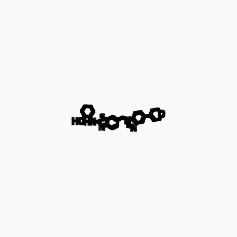 O[C@@H]1CCCC[C@H]1Nc1nc2ccc(Cn3cnc4cc(C5=CCOCC5)ccc43)cc2s1